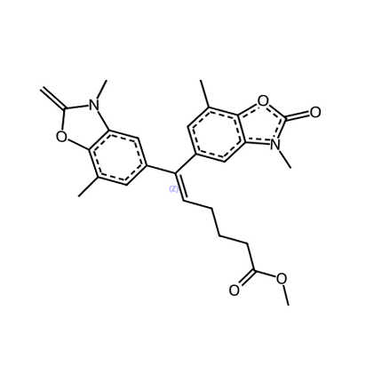 C=C1Oc2c(C)cc(/C(=C/CCCC(=O)OC)c3cc(C)c4oc(=O)n(C)c4c3)cc2N1C